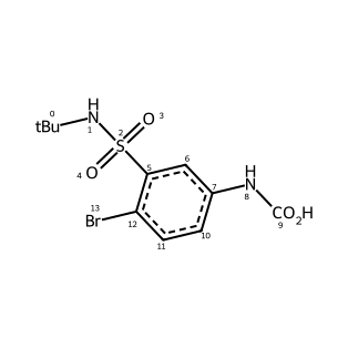 CC(C)(C)NS(=O)(=O)c1cc(NC(=O)O)ccc1Br